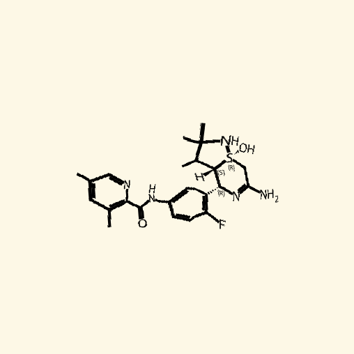 Cc1cnc(C(=O)Nc2ccc(F)c([C@H]3N=C(N)C[S@]4(O)NC(C)(C)C(C)[C@@H]34)c2)c(C)c1